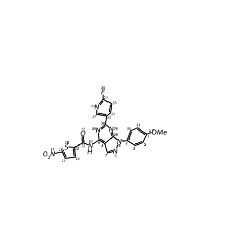 COc1ccc(-n2ncc3c(NC(=O)c4ccc([N+](=O)[O-])s4)nc(-c4ccc(F)nc4)nc32)cc1